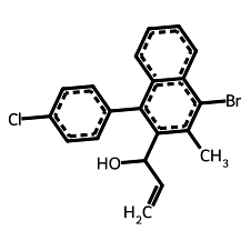 C=CC(O)c1c(C)c(Br)c2ccccc2c1-c1ccc(Cl)cc1